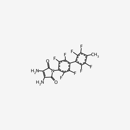 Cc1c(F)c(F)c(-c2c(F)c(F)c(N3C(=O)C(N)=C(N)C3=O)c(F)c2F)c(F)c1F